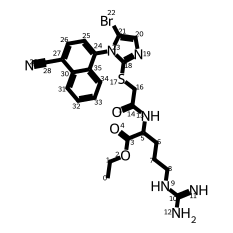 CCOC(=O)C(CCCNC(=N)N)NC(=O)CSc1ncc(Br)n1-c1ccc(C#N)c2ccccc12